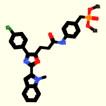 CCOP(=O)(Cc1ccc(NC(=O)CCc2oc(-c3cc4ccccc4n3C)nc2-c2ccc(Cl)cc2)cc1)OCC